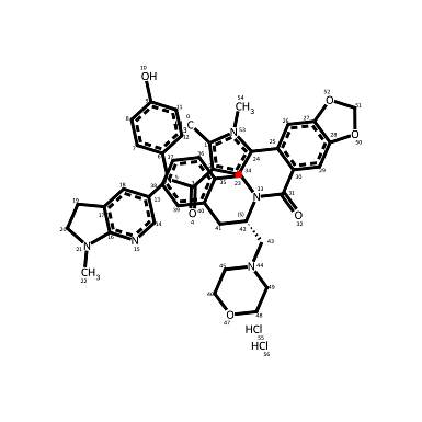 Cc1c(C(=O)N(c2ccc(O)cc2)c2cnc3c(c2)CCN3C)cc(-c2cc3c(cc2C(=O)N2Cc4ccccc4C[C@H]2CN2CCOCC2)OCO3)n1C.Cl.Cl